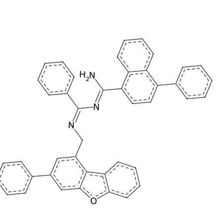 N/C(=N\C(=N/Cc1cc(-c2ccccc2)cc2oc3ccccc3c12)c1ccccc1)c1ccc(-c2ccccc2)c2ccccc12